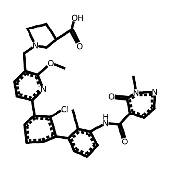 COc1nc(-c2cccc(-c3cccc(NC(=O)c4ccnn(C)c4=O)c3C)c2Cl)ccc1CN1CCC(C(=O)O)C1